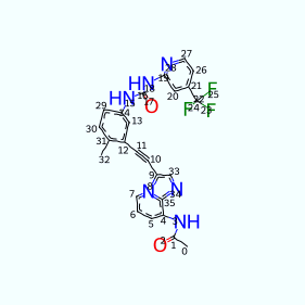 CC(=O)Nc1cccn2c(C#Cc3cc(NC(=O)Nc4cc(C(F)(F)F)ccn4)ccc3C)cnc12